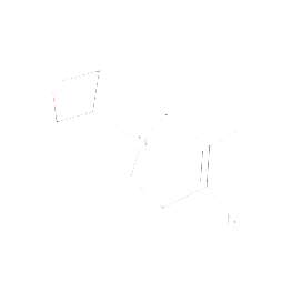 CC1=C(N)CCN(C2COC2)C1